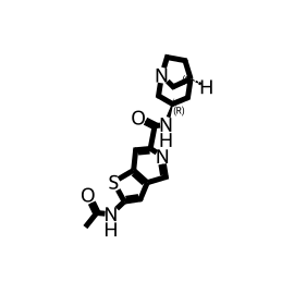 CC(=O)Nc1cc2cnc(C(=O)N[C@@H]3C[C@@H]4CCN(C4)C3)cc2s1